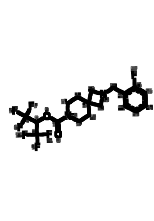 O=C(OC(C(F)(F)F)C(F)(F)F)N1CCC2(CC1)CN(Cc1ccccc1F)C2